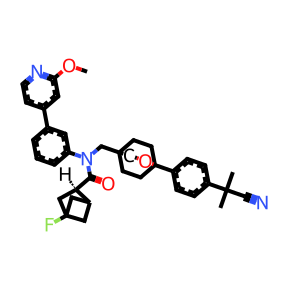 COc1cc(-c2cccc(N(CC34CCC(c5ccc(C(C)(C)C#N)cc5)(CC3)OC4)C(=O)[C@@H]3CC4(F)CC3C4)c2)ccn1